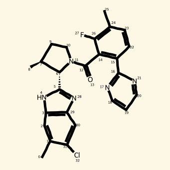 Cc1cc2[nH]c([C@@H]3[C@@H](C)CCN3C(=O)c3c(-c4ncccn4)ccc(C)c3F)nc2cc1Cl